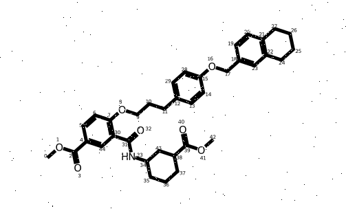 COC(=O)c1ccc(OCCCc2ccc(OCc3ccc4c(c3)CCCC4)cc2)c(C(=O)NC2CCCC(C(=O)OC)C2)c1